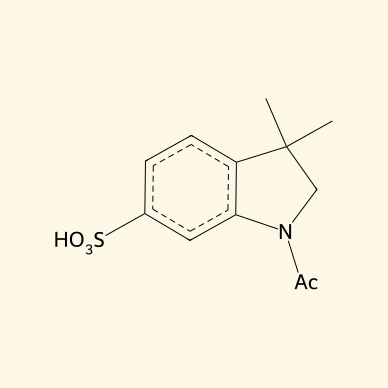 CC(=O)N1CC(C)(C)c2ccc(S(=O)(=O)O)cc21